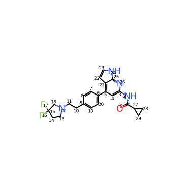 O=C(Nc1cc(-c2ccc(CCN3CCC(F)(F)C3)cc2)c2cc[nH]c2n1)C1CC1